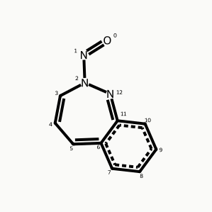 O=NN1C=CC=c2ccccc2=N1